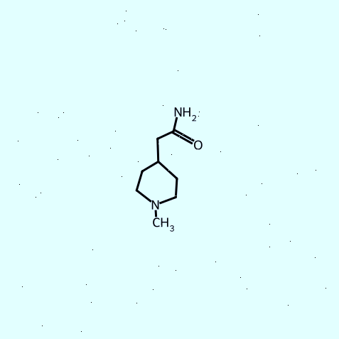 CN1CCC(CC(N)=O)CC1